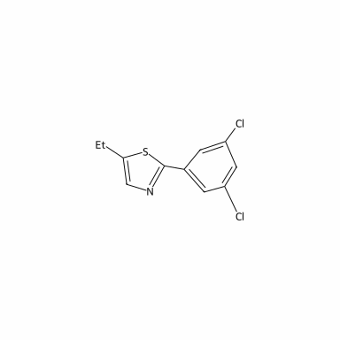 CCc1cnc(-c2cc(Cl)cc(Cl)c2)s1